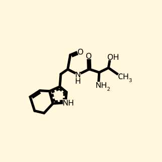 CC(O)C(N)C(=O)NC(C=O)Cc1c[nH]c2c1C=CCC2